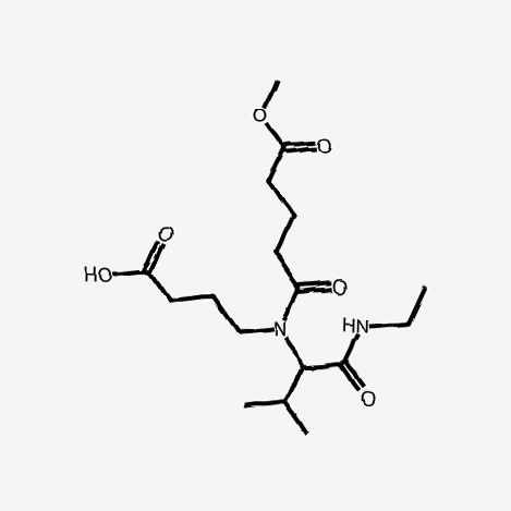 CCNC(=O)C(C(C)C)N(CCCC(=O)O)C(=O)CCCC(=O)OC